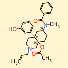 C=CCN1CC[C@@]2(c3cccc(O)c3)C[C@@H](N(C)C(=O)c3ccccc3)CC[C@]2(OC(C)=O)C1